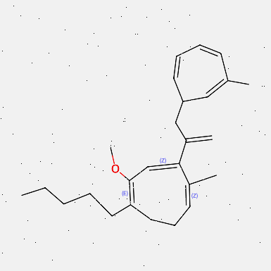 C=C(CC1C=CC=CC(C)=C1)C1=C/C(OC)=C(/CCCCC)CC/C=C\1C